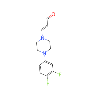 O=CC=CN1CCN(c2ccc(F)c(F)c2)CC1